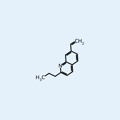 C=Cc1ccc2ccc(CCC)nc2c1